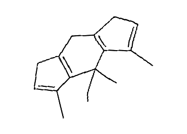 CC1=CCC2=C1C(C)(C)C1=C(CC=C1C)C2